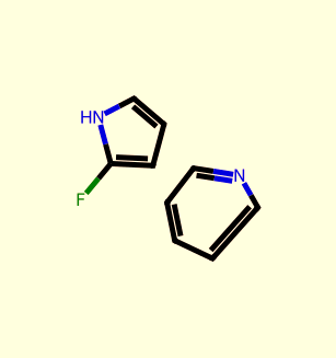 Fc1ccc[nH]1.c1ccncc1